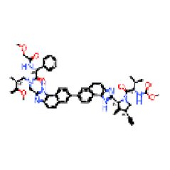 C#C[C@@H]1CN(C(=O)[C@@H](NC(=O)OC)C(C)C)[C@H](c2nc3ccc4cc(-c5ccc6c(ccc7nc(CN(C[C@H](C)C(=C)OC)C(=O)[C@H](NC(=O)COC)c8ccccc8)[nH]c76)c5)ccc4c3[nH]2)C1=C